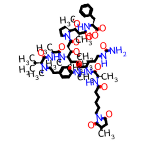 CC[C@H](C)[C@@H]([C@@H](CC(=O)N1CCC[C@H]1[C@H](OC)[C@@H](C)C(=O)N[C@@H](Cc1ccccc1)C(=O)O)OC)N(C)C(=O)[C@H](C)NC(=O)[C@H](C(C)C)N(C)CCc1ccc(N(C)C(=O)C(CCCNC(N)=O)NC(=O)[C@H](C)NC(=O)CCCCCN2C(=O)CC(C)C2=O)cc1